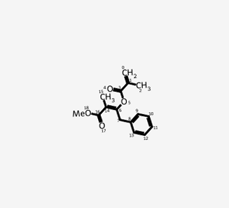 C=C(C)C(=O)OC(Cc1ccccc1)=C(C)C(=O)OC